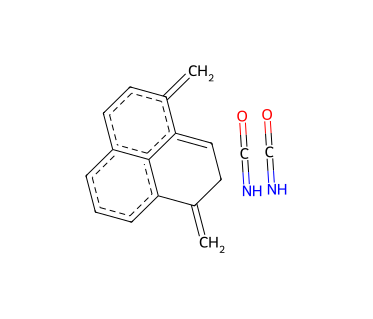 C=C1CC=c2c(=C)ccc3cccc1c23.N=C=O.N=C=O